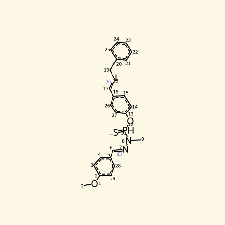 COc1ccc(/C=N/N(C)[PH](=S)Oc2ccc(/C=N/Cc3ccccc3)cc2)cc1